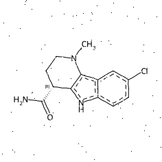 CN1CC[C@@H](C(N)=O)c2[nH]c3ccc(Cl)cc3c21